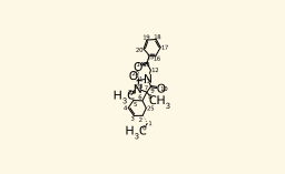 CC[C@@H]1C=CCC(C2(C)C(=O)N(CC(=O)c3ccccc3)C(=O)N2C)C1